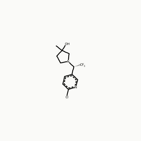 CC1(O)CCN([C@@H](c2ccc(Cl)nc2)C(F)(F)F)C1